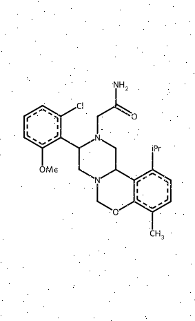 COc1cccc(Cl)c1C1CN2COc3c(C)ccc(C(C)C)c3C2CN1CC(N)=O